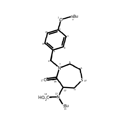 CCCCOc1ccc(CN2CCSCC(N(C(=O)O)C(C)(C)C)C2=O)cc1